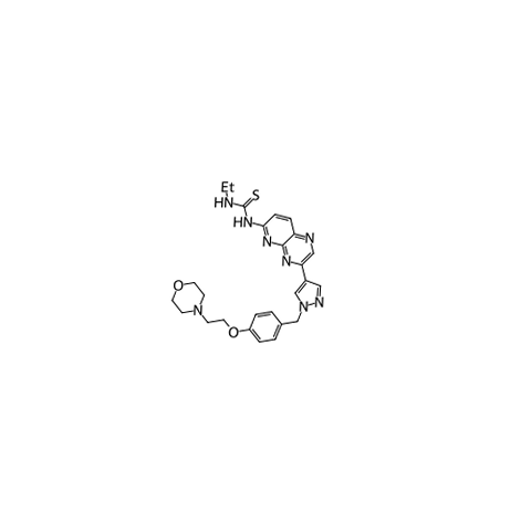 CCNC(=S)Nc1ccc2ncc(-c3cnn(Cc4ccc(OCCN5CCOCC5)cc4)c3)nc2n1